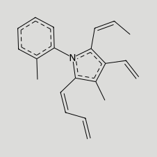 C=C/C=C\c1c(C)c(C=C)c(/C=C\C)n1-c1ccccc1C